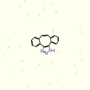 In1nnc2c1-c1ccccc1/C=C\c1ccccc1-2